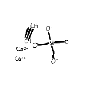 C#C.[Ca+2].[Ca+2].[O-][Si]([O-])([O-])[O-]